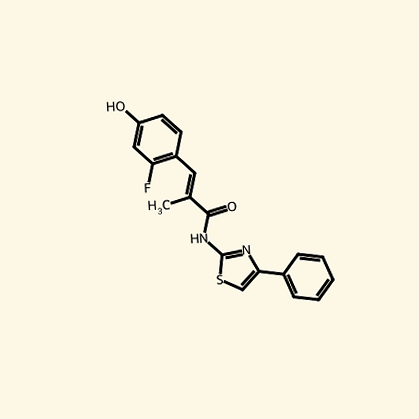 C/C(=C\c1ccc(O)cc1F)C(=O)Nc1nc(-c2ccccc2)cs1